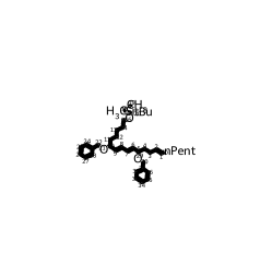 CCCCCC=CCCC(C=CC=CC(CCCCCO[Si](C)(C)C(C)(C)C)OCc1ccccc1)OCc1ccccc1